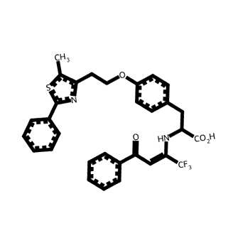 Cc1sc(-c2ccccc2)nc1CCOc1ccc(CC(N/C(=C\C(=O)c2ccccc2)C(F)(F)F)C(=O)O)cc1